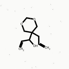 C=CCC1(C(O)C=C)COCOC1